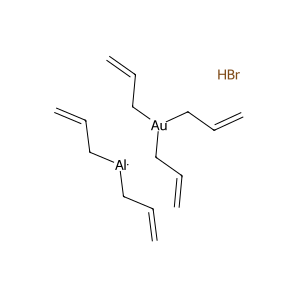 Br.C=C[CH2][Al][CH2]C=C.C=C[CH2][Au]([CH2]C=C)[CH2]C=C